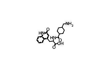 NCC1CCC(C(=O)NC(Cc2cc(=O)[nH]c3ccccc23)C(=O)O)CC1